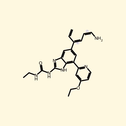 C=C/C(=C\C=C/N)c1cc(-c2cc(OCC)ccn2)c2[nH]c(NC(=O)NCC)nc2c1